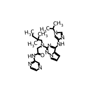 CCC(C)(C)CN(CC(=O)Nc1cnccn1)c1nc(Nc2cn(C(C)C)cn2)c2cccn2n1